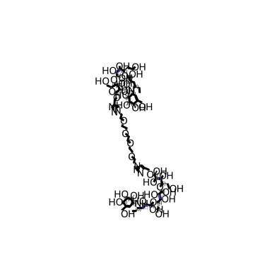 CC[C@H](CC(O)[C@H](O)O[C@H](CCO)/C(O)=C(/O)[C@H](O)O[C@@H]1C(CO)O[C@@H](OCc2cn(CCOCCOCCOCCOCCn3cc(CO[C@@H](O)/C(O)=C(\O)[C@H](CCO)O[C@H](O)/C(O)=C(\O)[C@H](CCO)O[C@H](O)/C(O)=C/[C@H](CC)N[C@@H]4C=C(CO)[C@H](O)[C@@H](O)[C@@H]4O)nn3)nn2)C(O)C1O)N[C@H]1C=C(CO)[C@@H](O)[C@H](O)[C@@H]1O